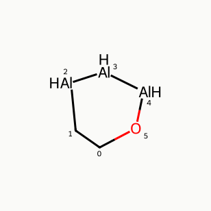 C1[CH2][AlH][AlH][AlH][O]1